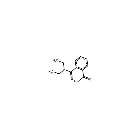 CCN(CC)C(=O)c1ccccc1C(N)=O